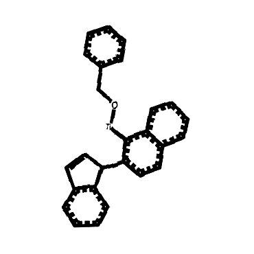 C1=CC(c2ccc3ccccc3[c]2[Ti][O]Cc2ccccc2)c2ccccc21